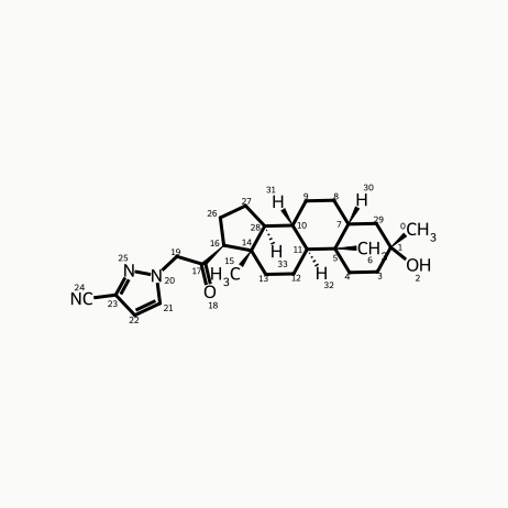 C[C@@]1(O)CC[C@@]2(C)[C@H](CC[C@@H]3[C@@H]2CC[C@]2(C)[C@@H](C(=O)Cn4ccc(C#N)n4)CC[C@@H]32)C1